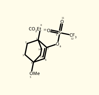 CCOC(=O)C12CCC(OC)(C=C1OS(=O)(=O)C(F)(F)F)CC2